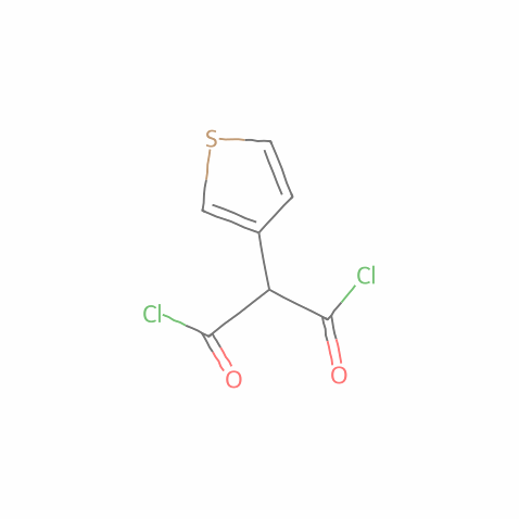 O=C(Cl)C(C(=O)Cl)c1ccsc1